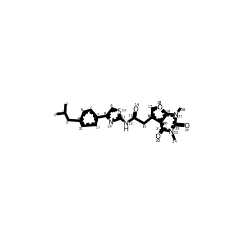 CC(C)Cc1ccc(-c2csc(NC(=O)Cc3coc4c3c(=O)n(C)c(=O)n4C)n2)cc1